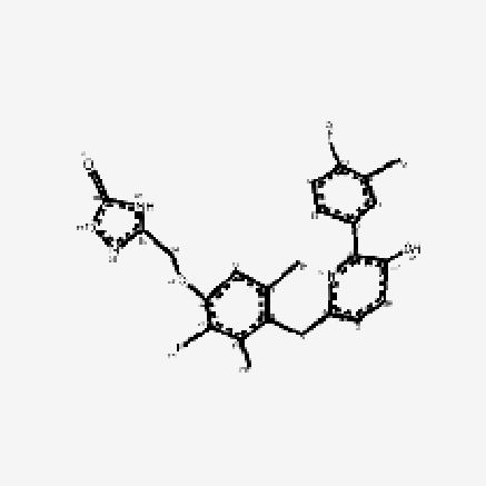 Cc1cc(-c2nc(Cc3c(C)cc(OCc4noc(=O)[nH]4)c(F)c3C)ccc2O)ccc1F